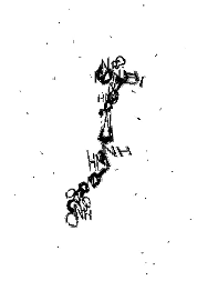 CCc1cc(Nc2ncc(Br)c(Nc3ccc4nccnc4c3P(C)(C)=O)n2)c(OC)cc1N1CCC(NCCNCC2CCN(c3ccc4c(c3)C(=O)N(C3CCC(=O)NC3=O)C4=O)CC2)CC1